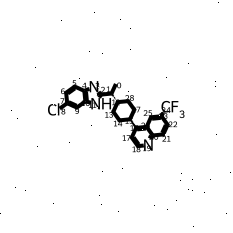 CC(c1nc2ccc(Cl)cc2[nH]1)[C@H]1CC[C@H](c2ccnc3ccc(C(F)(F)F)cc32)CC1